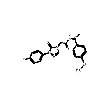 C[C@H](NC(=O)Cn1cnn(-c2ccc(F)cc2)c1=O)c1ccc(OC(F)(F)F)cc1